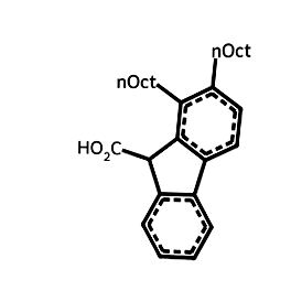 CCCCCCCCc1ccc2c(c1CCCCCCCC)C(C(=O)O)c1ccccc1-2